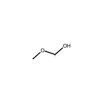 CO[C]O